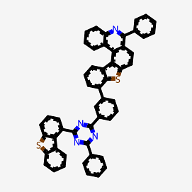 c1ccc(-c2nc(-c3cccc(-c4cccc5c4sc4ccc6c(-c7ccccc7)nc7ccccc7c6c45)c3)nc(-c3cccc4sc5ccccc5c34)n2)cc1